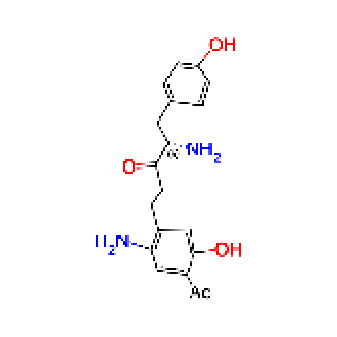 CC(=O)c1cc(N)c(CCC(=O)[C@@H](N)Cc2ccc(O)cc2)cc1O